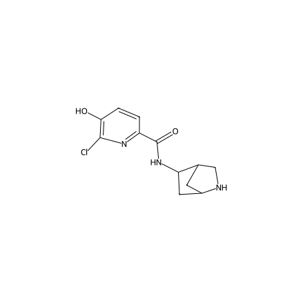 O=C(NC1CC2CC1CN2)c1ccc(O)c(Cl)n1